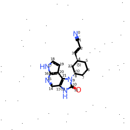 N#CC=C[C@H]1CCC[C@H](n2c(=O)[nH]c3cnc4[nH]ccc4c32)C1